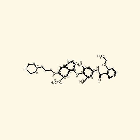 CCOc1ccncc1C(=O)Nc1cc(P)c(Oc2ccnc3cc(OCCCN4CCOCC4)c(OC)cc23)c(P)c1